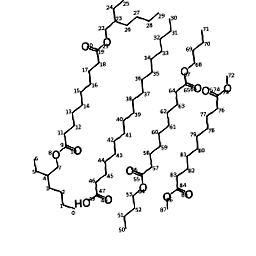 CCCCC(CC)COC(=O)CCCCCCCCC(=O)OCC(CC)CCCC.CCCCCCCCCCCCCCCCCC(=O)O.CCCCOC(=O)CCCCCCCCC(=O)OCCCC.COC(=O)CCCCCCCCC(=O)OC